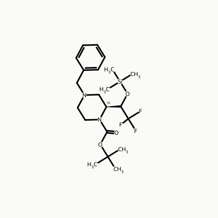 CC(C)(C)OC(=O)N1CCN(Cc2ccccc2)C[C@H]1C(O[Si](C)(C)C)C(F)(F)F